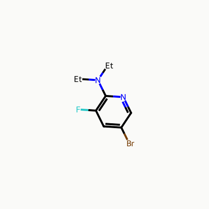 CCN(CC)c1ncc(Br)cc1F